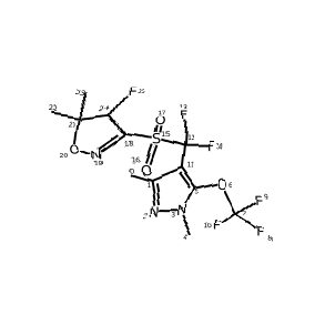 Cc1nn(C)c(OC(F)(F)F)c1C(F)(F)S(=O)(=O)C1=NOC(C)(C)C1F